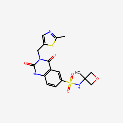 Cc1ncc(Cn2c(=O)[nH]c3ccc(S(=O)(=O)NC4(C#N)COC4)cc3c2=O)s1